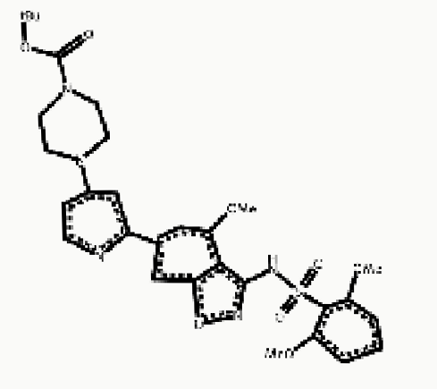 COc1cccc(OC)c1S(=O)(=O)Nc1noc2cc(-c3cc(N4CCN(C(=O)OC(C)(C)C)CC4)ccn3)cc(OC)c12